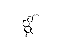 Cc1cc2c(cc1Br)OCc1nc(C=O)cn1-2